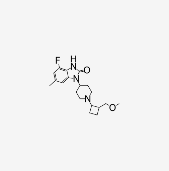 COCC1CCC1N1CCC(n2c(=O)[nH]c3c(F)cc(C)cc32)CC1